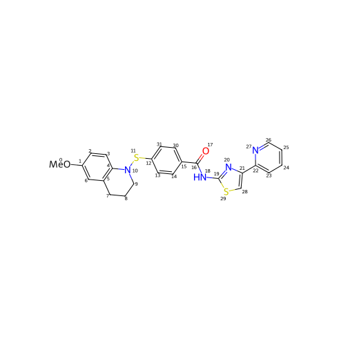 COc1ccc2c(c1)CCCN2Sc1ccc(C(=O)Nc2nc(-c3ccccn3)cs2)cc1